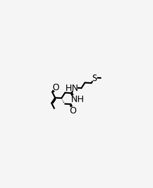 C/C=C(/C=O)[C@@H](CC=O)CC(=N)NCCCSC